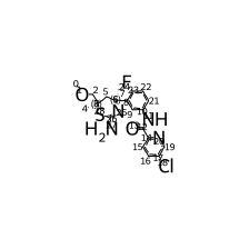 COC[C@@]1(C)C[C@@](C)(c2cc(NC(=O)c3ccc(Cl)cn3)ccc2F)N=C(N)S1